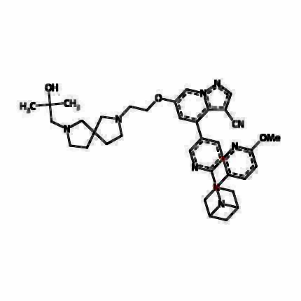 COc1ccc(CN2C3CC2CN(c2ccc(-c4cc(OCCN5CCC6(CCN(CC(C)(C)O)C6)C5)cn5ncc(C#N)c45)cn2)C3)cn1